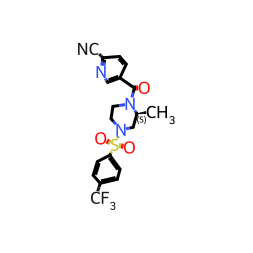 C[C@H]1CN(S(=O)(=O)c2ccc(C(F)(F)F)cc2)CCN1C(=O)c1ccc(C#N)nc1